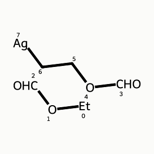 CCOC=O.O=COC[CH2][Ag]